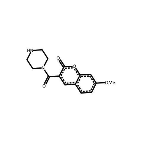 COc1ccc2cc(C(=O)N3CCNCC3)c(=O)oc2c1